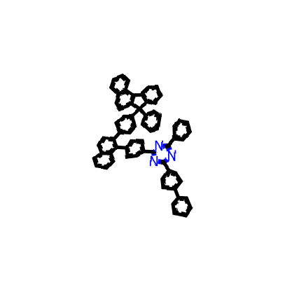 c1ccc(-c2ccc(-c3nc(-c4ccccc4)nc(-c4ccc(-c5c(-c6ccc(C7(c8ccccc8)c8ccccc8-c8c7ccc7ccccc87)cc6)ccc6ccccc56)cc4)n3)cc2)cc1